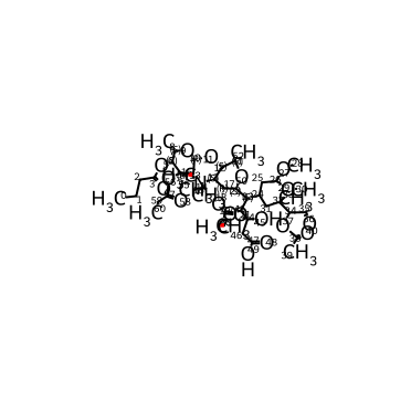 CCCC(=O)O[C@H]1[C@H](C)O[C@H](O[C@H]2[C@H](N(C)C)[C@@H](OC(C)=O)[C@H]([C@@H](C(CC(OC)OC)CC(C)C(C=O)OC(C)=O)C(OC)C(O)CC(=O)O)O[C@@H]2C)C[C@@]1(C)OC(=O)CC